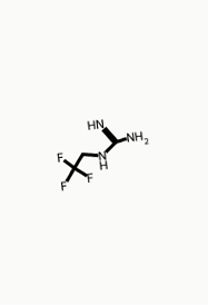 N=C(N)NCC(F)(F)F